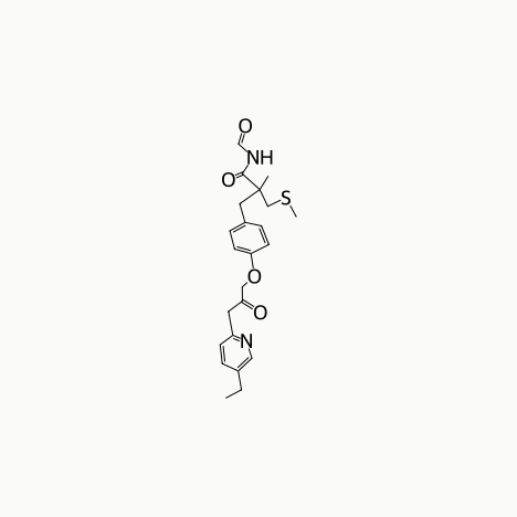 CCc1ccc(CC(=O)COc2ccc(CC(C)(CSC)C(=O)NC=O)cc2)nc1